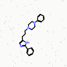 c1ccc(-c2ncc(CCCN3CCN(c4ccccc4)CC3)[nH]2)cc1